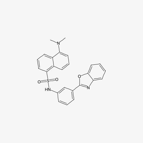 CN(C)c1cccc2c(S(=O)(=O)Nc3cccc(-c4nc5ccccc5o4)c3)cccc12